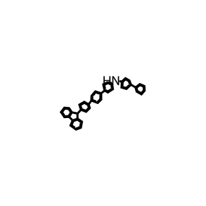 c1ccc(-c2ccc(Nc3ccc(-c4ccc(-c5ccc(C6c7ccccc7-c7ccccc76)cc5)cc4)cc3)cc2)cc1